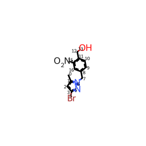 Cc1cc(Br)nn1Cc1ccc(CO)c([N+](=O)[O-])c1